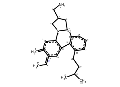 C=c1nc(N2CCC(CN)C2)c(-c2c(Cl)cccc2CCC(C)C)c/c1=C/C